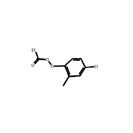 CCC(=O)OOc1ccc(Cl)cc1C